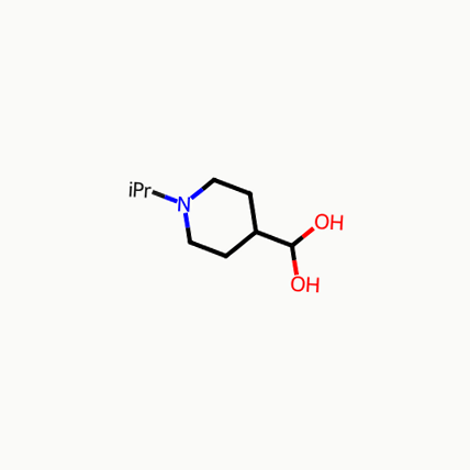 CC(C)N1CCC(C(O)O)CC1